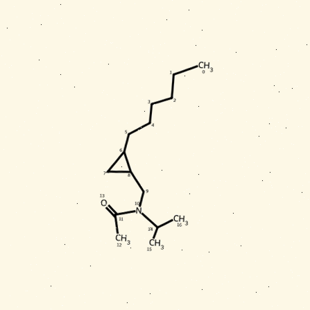 CCCCCCC1CC1CN(C(C)=O)C(C)C